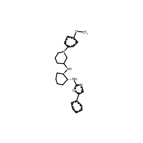 FC(F)(F)Oc1ccc(N2CCCC(N[C@@H]3CCCC[C@H]3Nc3ncc(-c4ccccc4)o3)C2)cc1